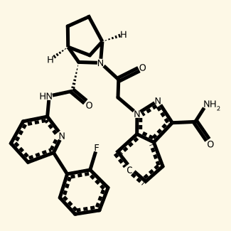 NC(=O)c1nn(CC(=O)N2[C@@H]3CC[C@@H](C3)[C@H]2C(=O)Nc2cccc(-c3ccccc3F)n2)c2ccccc12